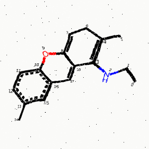 CCNC1=C(C)CC=C2Oc3ccc(C)cc3C=C21